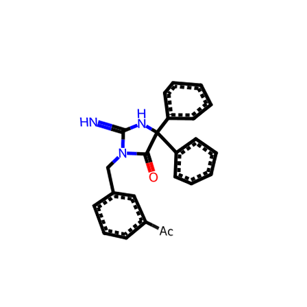 CC(=O)c1cccc(CN2C(=N)NC(c3ccccc3)(c3ccccc3)C2=O)c1